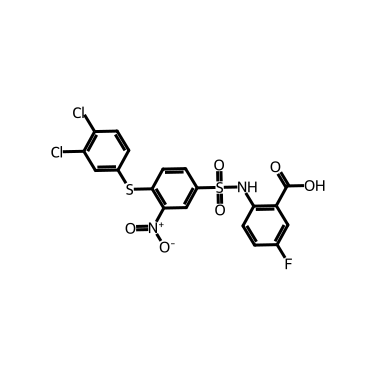 O=C(O)c1cc(F)ccc1NS(=O)(=O)c1ccc(Sc2ccc(Cl)c(Cl)c2)c([N+](=O)[O-])c1